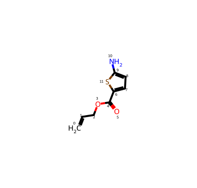 C=CCOC(=O)c1ccc(N)s1